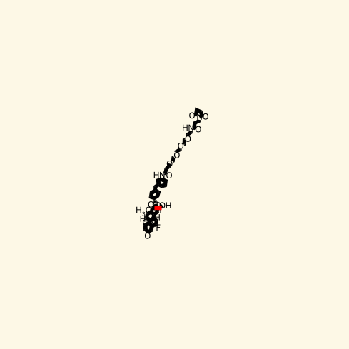 C[C@]12C[C@@H]3O[C@]45C=CC(=O)C=C4[C@@H](F)C[C@@H](C1C[C@H]1O[C@@H](c4ccc(Cc6cccc(NC(=O)CCOCCOCCOCCOCCNC(=O)CCN7C(=O)C=CC7=O)c6)cc4)O[C@]12C(=O)CO)[C@]35F